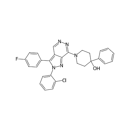 OC1(c2ccccc2)CCN(c2nncc3c(-c4ccc(F)cc4)n(-c4ccccc4Cl)nc23)CC1